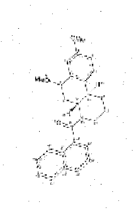 COc1ccc2c(c1)C(OC)C[C@@H]1[C@@H]2CCCN1C(=O)c1cccc2ccccc12